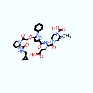 C[C@@H]1CN(C(=O)[C@H](CCC(=O)O)NC(=O)c2cc(OCC(=O)N3CCC[C@H]3C(=O)NCC3CC3)n(-c3ccccc3)n2)CCN1C(=O)O